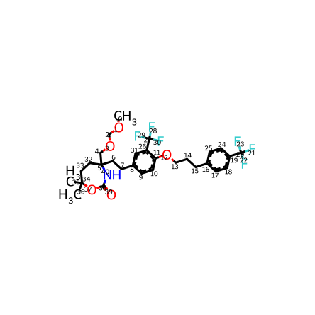 COCOCC1(CCc2ccc(OCCCc3ccc(C(F)(F)F)cc3)c(C(F)(F)F)c2)CCC(C)(C)OC(=O)N1